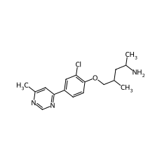 Cc1cc(-c2ccc(OCC(C)CC(C)N)c(Cl)c2)ncn1